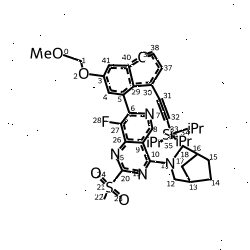 COCOc1cc(-c2ncc3c(N4CC5CCC(C5)C4)nc(S(C)(=O)=O)nc3c2F)c2c(C#C[Si](C(C)C)(C(C)C)C(C)C)cccc2c1